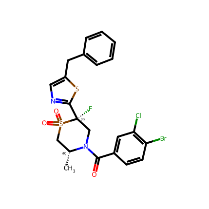 C[C@@H]1CS(=O)(=O)[C@@](F)(c2ncc(Cc3ccccc3)s2)CN1C(=O)c1ccc(Br)c(Cl)c1